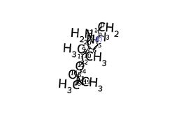 C=C/C(I)=C1/C=CC(C(C)(C)CCOCC(=O)N(C)C)=CN1N